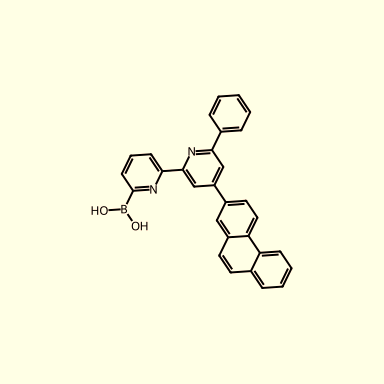 OB(O)c1cccc(-c2cc(-c3ccc4c(ccc5ccccc54)c3)cc(-c3ccccc3)n2)n1